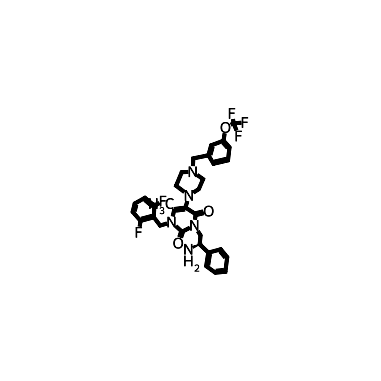 Cc1c(N2CCN(Cc3cccc(OC(F)(F)F)c3)CC2)c(=O)n(C[C@H](N)c2ccccc2)c(=O)n1Cc1c(F)cccc1F